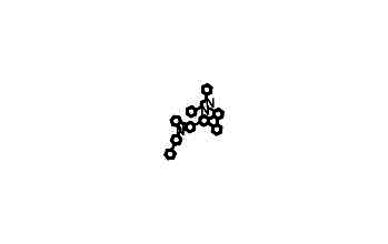 c1ccc(-c2ccc(-n3c4ccccc4c4cc(-c5ccc6c(c5)c5ccccc5c5cccc(-c7nc(-c8ccccc8)cc(-c8ccccc8)n7)c56)ccc43)cc2)cc1